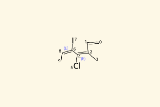 C=C/C(C)=C(Cl)\C(I)=C/C